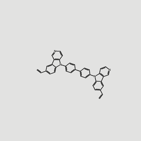 C=Cc1ccc2c(c1)c1cnccc1n2-c1ccc(-c2ccc(-n3c4ccncc4c4cc(C=C)ccc43)cc2)cc1